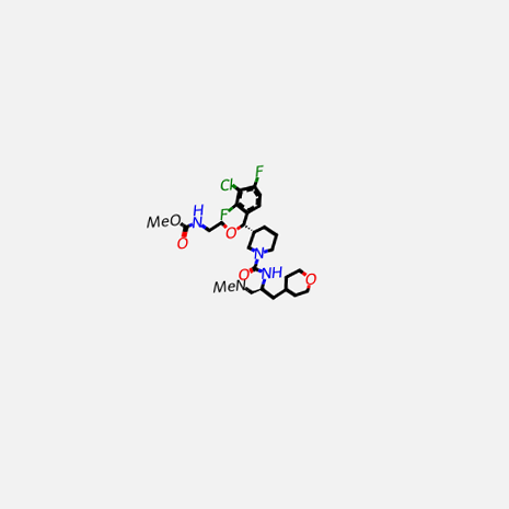 CNC[C@H](CC1CCOCC1)NC(=O)N1CCC[C@@H](C(OCCNC(=O)OC)c2ccc(F)c(Cl)c2F)C1